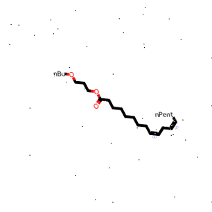 CCCCC/C=C\C/C=C\CCCCCCCC(=O)OCCCOCCCC